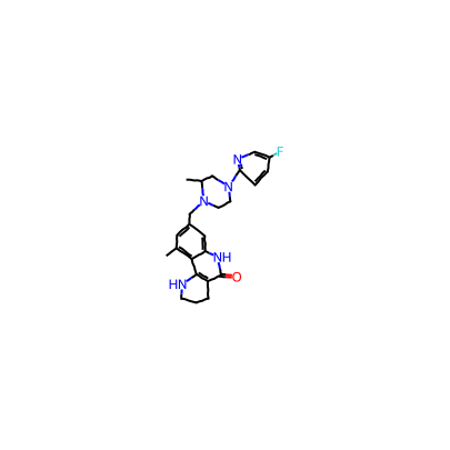 Cc1cc(CN2CCN(c3ccc(F)cn3)CC2C)cc2[nH]c(=O)c3c(c12)NCCC3